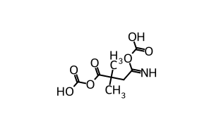 CC(C)(CC(=N)OC(=O)O)C(=O)OC(=O)O